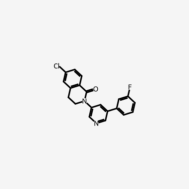 O=C1c2ccc(Cl)cc2CCN1c1cncc(-c2cccc(F)c2)c1